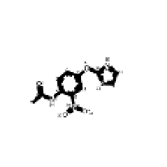 CC(=O)Nc1ccc(Oc2nccs2)cc1[N+](=O)[O-]